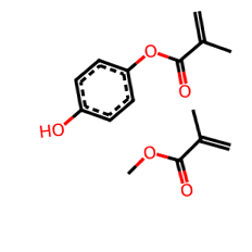 C=C(C)C(=O)OC.C=C(C)C(=O)Oc1ccc(O)cc1